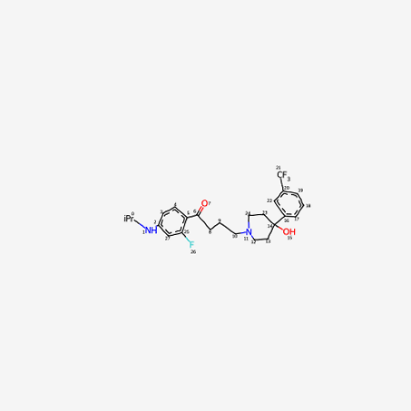 CC(C)Nc1ccc(C(=O)CCCN2CCC(O)(c3cccc(C(F)(F)F)c3)CC2)c(F)c1